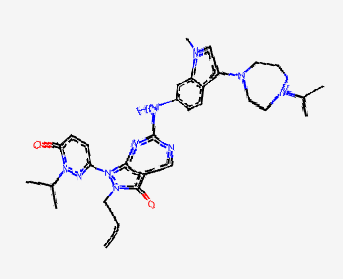 C=CCn1c(=O)c2cnc(Nc3ccc4c(N5CCN(C(C)C)CC5)cn(C)c4c3)nc2n1-c1ccc(=O)n(C(C)C)n1